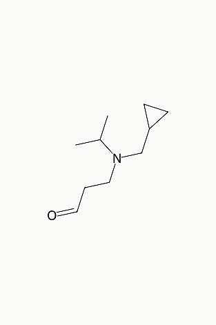 CC(C)N(CCC=O)CC1CC1